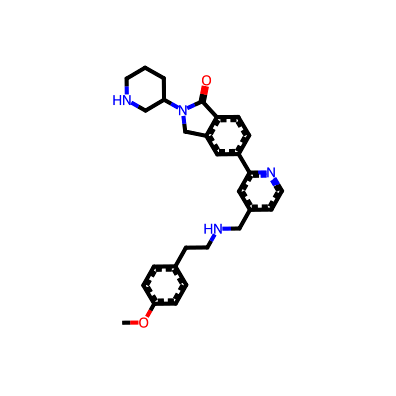 COc1ccc(CCNCc2ccnc(-c3ccc4c(c3)CN(C3CCCNC3)C4=O)c2)cc1